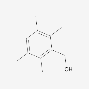 Cc1cc(C)c(C)c(CO)c1C